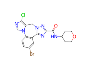 O=C(NC1CCOCC1)c1nc2n(n1)Cc1c(Cl)ncn1-c1ccc(Br)cc1-2